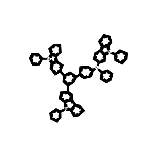 c1ccc(N(c2ccc(-c3cc(-c4ccc5c(c4)c4ccccc4n5-c4ccccc4)cc(-c4ccc5c(c4)c4ccccc4n5-c4ccccc4)c3)cc2)c2ccc3c4ccccc4n(-c4ccccc4)c3c2)cc1